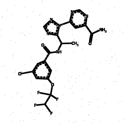 CC(NC(=O)c1cc(Cl)cc(OC(F)(F)C(F)F)c1)c1ncnn1-c1cc(C(N)=O)ncn1